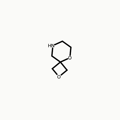 C1COC2(CN1)COC2